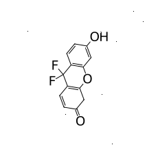 O=C1C=CC2=C(C1)Oc1cc(O)ccc1C2(F)F